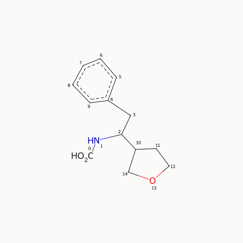 O=C(O)NC(Cc1ccccc1)C1CCOC1